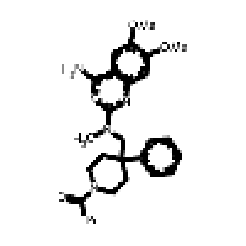 COc1cc2nc(N(C)CC3(c4ccccc4)CCN(C(=O)C(C)C)CC3)nc(N)c2cc1OC